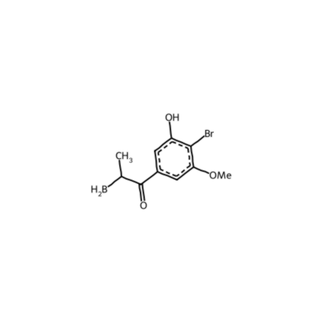 BC(C)C(=O)c1cc(O)c(Br)c(OC)c1